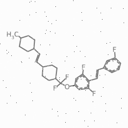 CC1CCC(/C=C/C2CCC(C(F)(F)Oc3cc(F)c(/C=C/c4cccc(F)c4)c(F)c3)CC2)CC1